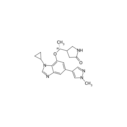 C[C@@H](Oc1cc(-c2cnn(C)c2)cc2ncn(C3CC3)c12)C1CNC(=O)C1